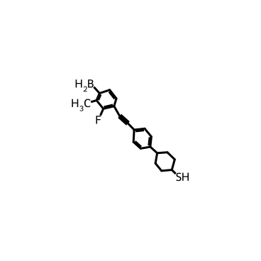 Bc1ccc(C#Cc2ccc(C3CCC(S)CC3)cc2)c(F)c1C